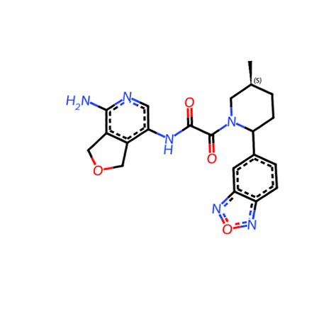 C[C@H]1CCC(c2ccc3nonc3c2)N(C(=O)C(=O)Nc2cnc(N)c3c2COC3)C1